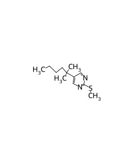 CCCCC(C)(C)c1cnc(SC)nc1